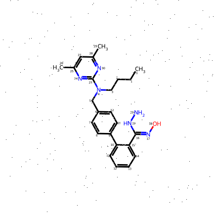 CCCCN(Cc1ccc(-c2ccccc2/C(=N/O)NN)cc1)c1nc(C)cc(C)n1